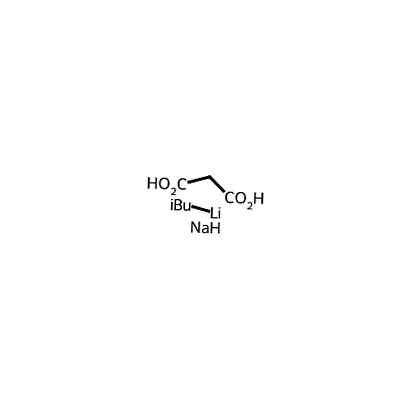 O=C(O)CC(=O)O.[Li][CH](C)CC.[NaH]